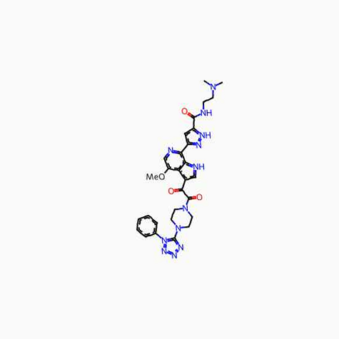 COc1cnc(-c2cc(C(=O)NCCN(C)C)[nH]n2)c2[nH]cc(C(=O)C(=O)N3CCN(c4nnnn4-c4ccccc4)CC3)c12